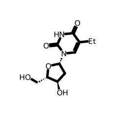 CCc1cn([C@@H]2C[C@@H](O)[C@H](CO)O2)c(=O)[nH]c1=O